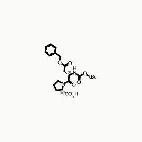 CC(C)(C)OC(=O)N[C@@H](CC(=O)OCc1ccccc1)C(=O)N1CCC[C@H]1C(=O)O